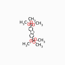 CCO[Si](OCC)(OCC)c1ccc2c(c1)Cc1cc([Si](OCC)(OCC)OCC)ccc1-2